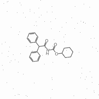 O=C(NC(=O)C(c1ccccc1)c1ccccc1)OC1CCCCC1